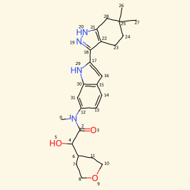 CN(C(=O)C(O)C1CCOCC1)c1ccc2cc(-c3n[nH]c4c3CCC(C)(C)C4)[nH]c2c1